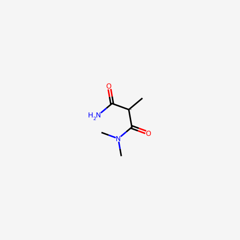 C[C](C(N)=O)C(=O)N(C)C